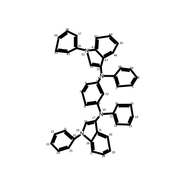 c1ccc(N(c2cccc(N(c3ccccc3)c3cn(-c4ccccc4)c4ccccc34)c2)c2cn(-c3ccccc3)c3ccccc23)cc1